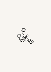 CC1CCCCC1NC(=O)C1(C)Cn2c(cc3occc32)C(=O)N1CCCc1ccccc1